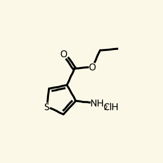 CCOC(=O)c1cscc1N.Cl